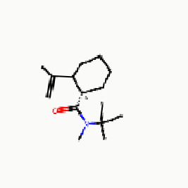 C=C(C)C1CCCC[C@@H]1C(=O)N(C)C(C)(C)C